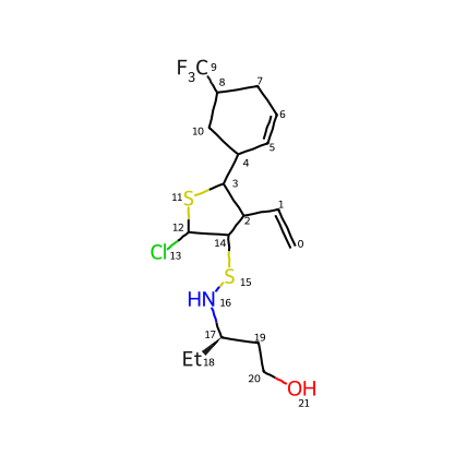 C=CC1C(C2C=CCC(C(F)(F)F)C2)SC(Cl)C1SN[C@H](CC)CCO